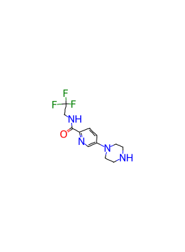 O=C(NCC(F)(F)F)c1ccc(N2CCNCC2)cn1